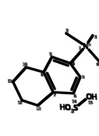 C[N+](C)(C)c1ccc2c(c1)CCCC2.O=S(=O)(O)O